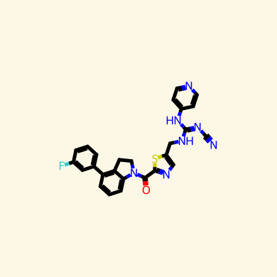 N#C/N=C(\NCc1cnc(C(=O)N2CCc3c(-c4cccc(F)c4)cccc32)s1)Nc1ccncc1